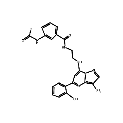 Bc1cnn2c(NCCNC(=O)c3cccc(NC(=O)Cl)c3)cc(-c3ccccc3O)nc12